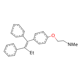 CCC(=C(c1ccccc1)c1ccc(OCCNC)cc1)c1ccccc1